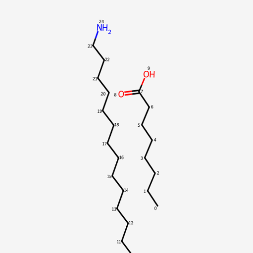 CCCCCCCC(=O)O.CCCCCCCCCCCCCCN